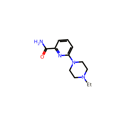 CCN1CCN(c2cc[c]c(C(N)=O)n2)CC1